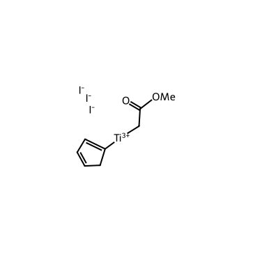 COC(=O)[CH2][Ti+3][C]1=CC=CC1.[I-].[I-].[I-]